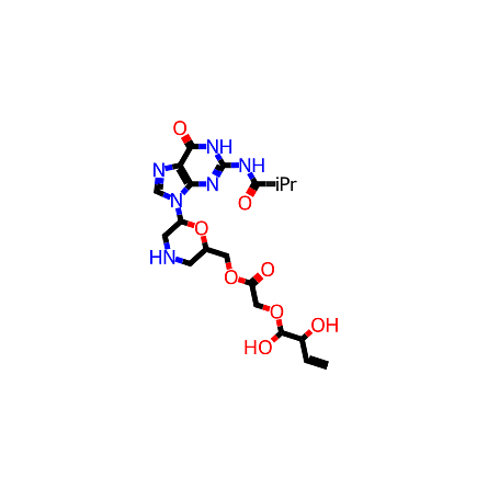 C=CC(O)C(O)OCC(=O)OCC1CNCC(n2cnc3c(=O)[nH]c(NC(=O)C(C)C)nc32)O1